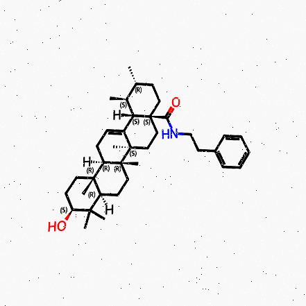 C[C@H]1[C@H](C)CC[C@]2(C(=O)NCCc3ccccc3)CC[C@]3(C)C(=CC[C@@H]4[C@@]5(C)CC[C@H](O)C(C)(C)[C@@H]5CC[C@]43C)[C@H]12